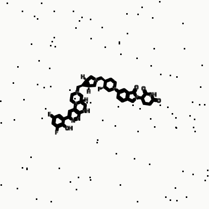 O=C1CCC(N2Cc3ccc(N4CC[C@H](CN5C[C@@H]6[C@H](C5)[C@@H]6CN5CCN6c7cc(-c8cc(F)cc(F)c8O)nnc7NC[C@H]6C5)[C@@H](F)C4)cc3C2=O)C(=O)N1